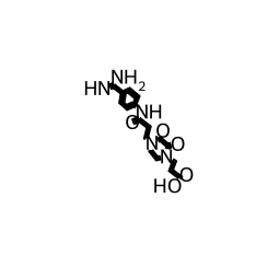 N=C(N)c1ccc(NC(=O)CCN2CCN(CCC(=O)O)C(=O)C2=O)cc1